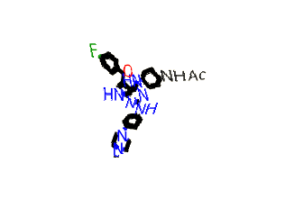 CC(=O)NC1CCC(Nc2nc(Nc3ccc(N4CCN(C)CC4)cc3)nc3[nH]cc(C(=O)c4ccc(F)cc4)c23)CC1